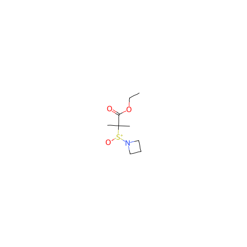 CCOC(=O)C(C)(C)[S+]([O-])N1CCC1